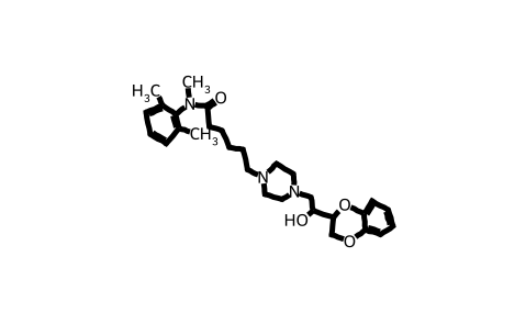 Cc1cccc(C)c1N(C)C(=O)CCCCCN1CCN(CC(O)C2COc3ccccc3O2)CC1